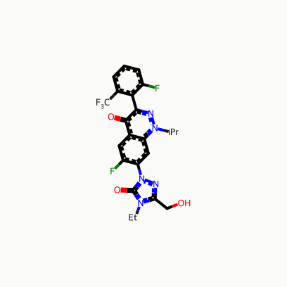 CCn1c(CO)nn(-c2cc3c(cc2F)c(=O)c(-c2c(F)cccc2C(F)(F)F)nn3C(C)C)c1=O